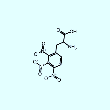 NC(Cc1ccc([N+](=O)[O-])c([N+](=O)[O-])c1[N+](=O)[O-])C(=O)O